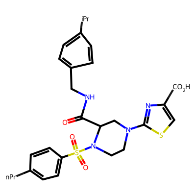 CCCc1ccc(S(=O)(=O)N2CCN(c3nc(C(=O)O)cs3)CC2C(=O)NCc2ccc(C(C)C)cc2)cc1